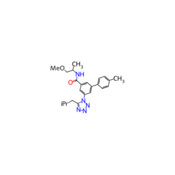 COCC(C)NC(=O)c1cc(-c2ccc(C)cc2)cc(-n2nnnc2CC(C)C)c1